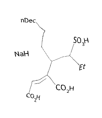 CCCCCCCCCCCCC(C(=CC(=O)O)C(=O)O)C(CC)S(=O)(=O)O.[NaH]